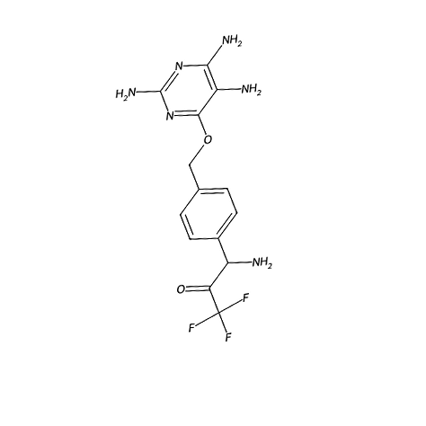 Nc1nc(N)c(N)c(OCc2ccc(C(N)C(=O)C(F)(F)F)cc2)n1